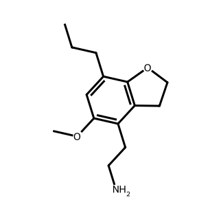 CCCc1cc(OC)c(CCN)c2c1OCC2